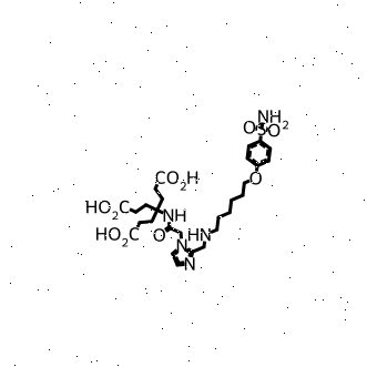 NS(=O)(=O)c1ccc(OCCCCCCNCc2nccn2CC(=O)NC(CCC(=O)O)(CCC(=O)O)CCC(=O)O)cc1